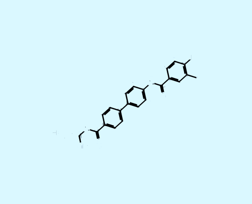 Cc1cc(C(=O)Nc2ccc(-c3ccc(C(=O)N[C@@H](C(=O)O)C(C)C)cc3)cc2)ccc1F